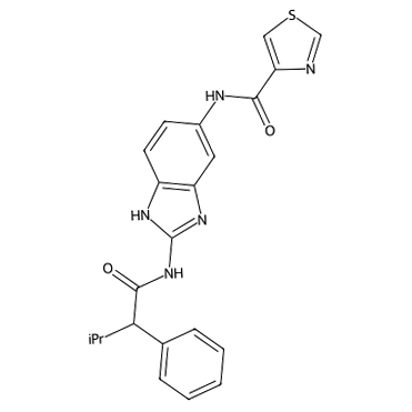 CC(C)C(C(=O)Nc1nc2cc(NC(=O)c3cscn3)ccc2[nH]1)c1ccccc1